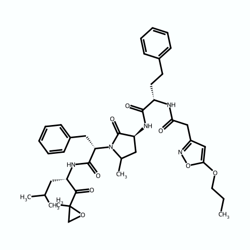 CCCOc1cc(CC(=O)N[C@@H](CCc2ccccc2)C(=O)N[C@H]2CC(C)N([C@@H](Cc3ccccc3)C(=O)N[C@@H](CC(C)C)C(=O)C3(C)CO3)C2=O)no1